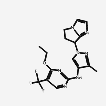 CCOc1nc(Nc2cn(C3CCn4ccnc43)nc2C)ncc1C(F)(F)F